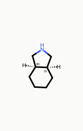 C1CC[C@H]2CNC[C@H]2C1